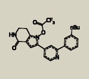 CCCCc1cccc(-c2cc(-c3cc4c(n3OC(=O)C(F)(F)F)CCNC4=O)ccn2)c1